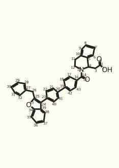 O=C(O)CC1c2ccccc2CCN1C(=O)c1ccc(-c2ccc(-c3c(Cc4ccccc4)oc4ccccc34)cc2)cc1